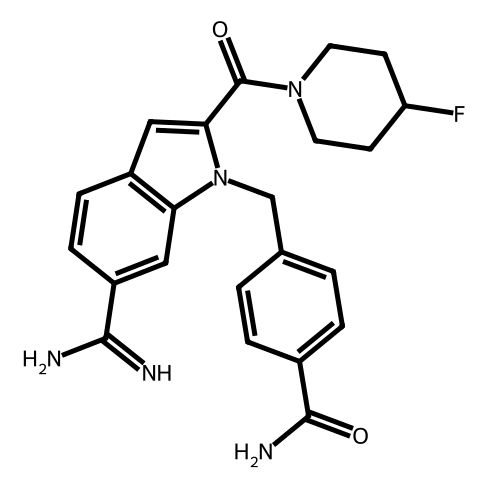 N=C(N)c1ccc2cc(C(=O)N3CCC(F)CC3)n(Cc3ccc(C(N)=O)cc3)c2c1